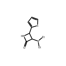 CCN(CC)C1C(=O)NC1c1cccs1